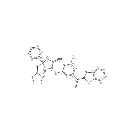 N=C1NC(C[C@@H]2CCCO2)(c2ccccc2)C(=O)N1Cc1cc(C(=O)N2Cc3nccnc3C2)cc(C(F)(F)F)c1